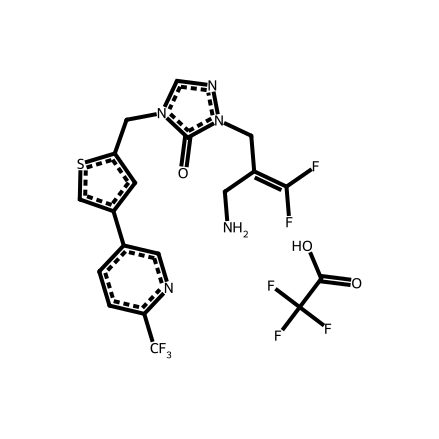 NCC(Cn1ncn(Cc2cc(-c3ccc(C(F)(F)F)nc3)cs2)c1=O)=C(F)F.O=C(O)C(F)(F)F